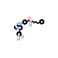 C=C1C(Nc2ccc(C(=O)NCCCCc3ccccc3)cc2)=CC=C(c2cc[nH]c(=O)c2)N1/C=C\C